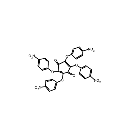 O=C1C(Oc2ccc([N+](=O)[O-])cc2)=C(Oc2ccc([N+](=O)[O-])cc2)C(=O)C(Oc2ccc([N+](=O)[O-])cc2)=C1Oc1ccc([N+](=O)[O-])cc1